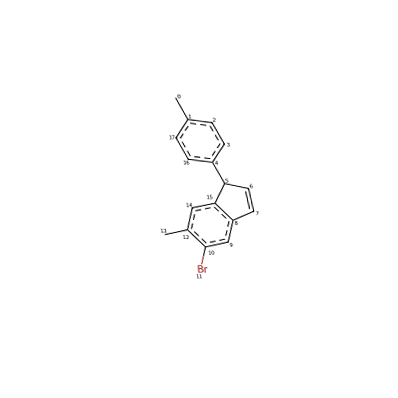 Cc1ccc(C2C=Cc3cc(Br)c(C)cc32)cc1